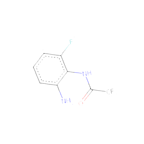 Nc1cccc(F)c1NC(=O)C(F)(F)F